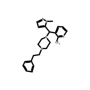 Cn1nccc1C(c1cccnc1C(F)(F)F)N1CCN(CCc2ccccc2)CC1